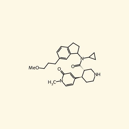 COCCCc1ccc2c(c1)C(N(C(=O)[C@@H]1CNCC[C@H]1c1ccn(C)c(=O)c1)C1CC1)CC2